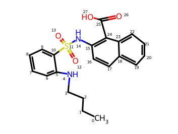 CCCCNc1ccccc1S(=O)(=O)Nc1ccc2ccccc2c1C(=O)O